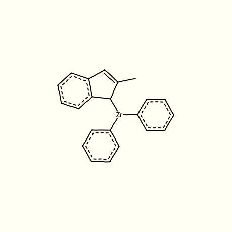 CC1=Cc2ccccc2[CH]1[Zr]([c]1ccccc1)[c]1ccccc1